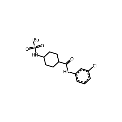 CC(C)(C)S(=O)(=O)NC1CCC(C(=O)Nc2cccc(Cl)c2)CC1